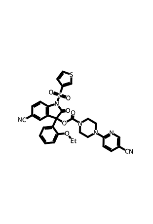 CCOc1ccccc1C1(OC(=O)N2CCN(c3ccc(C#N)cn3)CC2)C(=O)N(S(=O)(=O)c2ccsc2)c2ccc(C#N)cc21